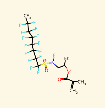 C=C(C)C(=O)OC(CC)CN(F)S(=O)(=O)C(F)(F)C(F)(F)C(F)(F)C(F)(F)C(F)(F)C(F)(F)C(F)(F)C(F)(F)F